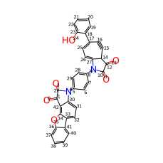 O=C1C(=O)N(c2ccc(N3C(=O)C(=O)C4C#CC(c5ccccc5O)=CC=C43)cc2)c2ccc3c(oc4ccccc43)c21